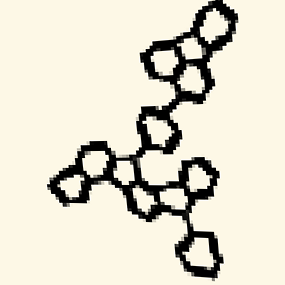 c1ccc(-n2c3ccccc3c3c2ccc2c4c5ccccc5ccc4n(-c4ccc(-c5ccc6c7c(cccc57)-c5ccccc5-6)cc4)c23)cc1